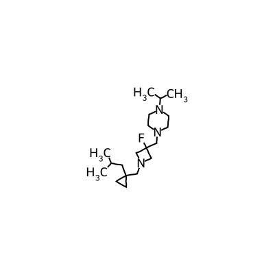 CC(C)CC1(CN2CC(F)(CN3CCN(C(C)C)CC3)C2)CC1